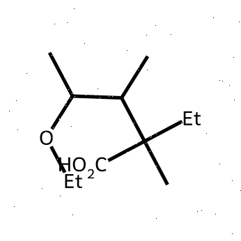 CCOC(C)C(C)C(C)(CC)C(=O)O